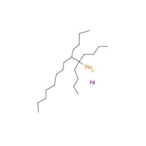 CCCCCCCCC(CCCC)C(P)(CCCC)CCCC.I